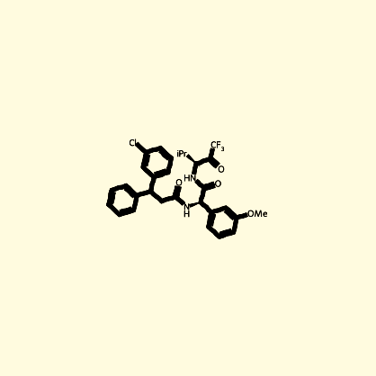 COc1cccc([C@@H](NC(=O)CC(c2ccccc2)c2cccc(Cl)c2)C(=O)N[C@H](C(=O)C(F)(F)F)C(C)C)c1